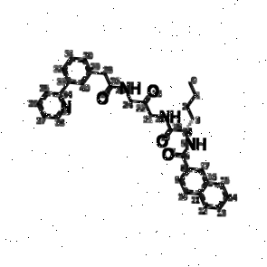 CCCC[C@H](NC(=O)c1ccc2ccccc2c1)C(=O)NCC(=O)CNC(=O)Cc1cccc(-c2ccccn2)c1